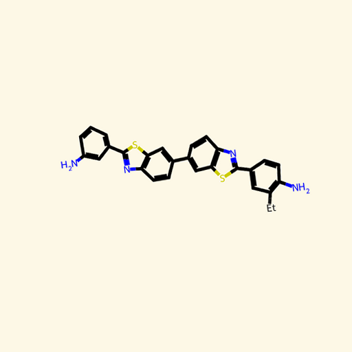 CCc1cc(-c2nc3ccc(-c4ccc5nc(-c6cccc(N)c6)sc5c4)cc3s2)ccc1N